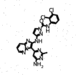 Cc1nc(N)cc(-c2c(Nc3ccn(C(=O)Nc4cccc(Cl)c4Cl)n3)nc3cccnn23)n1